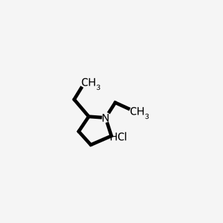 CCC1CCCN1CC.Cl